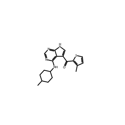 Cc1ccsc1C(=O)c1c[nH]c2ncnc(NC3CCC(C)CC3)c12